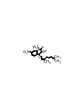 CC(C)=CCCC(C)=CCOc1c(O)c(=O)n(C)c2cc([N+](=O)[O-])ccc12